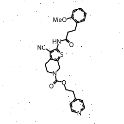 COc1ccccc1CCC(=O)Nc1sc2c(c1C#N)CCN(C(=O)OCCc1ccncc1)C2